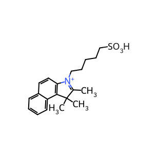 CC1=[N+](CCCCCS(=O)(=O)O)c2ccc3ccccc3c2C1(C)C